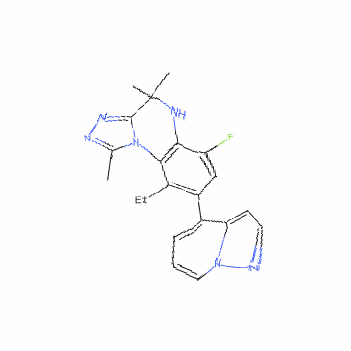 CCc1c(-c2cccn3nccc23)cc(F)c2c1-n1c(C)nnc1C(C)(C)N2